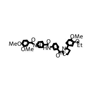 CCOc1cc(C2=NN(C(=O)c3cccc(NC(=O)c4ccc(NC(=O)c5ccc(OC)c(OC)c5)cc4)c3)CCC2)ccc1OC